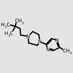 Cc1cnc(N2CCN(CCC(C)(C)C)CC2)cn1